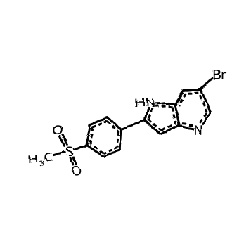 CS(=O)(=O)c1ccc(-c2cc3ncc(Br)cc3[nH]2)cc1